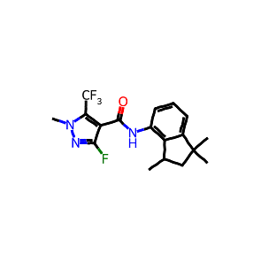 CC1CC(C)(C)c2cccc(NC(=O)c3c(F)nn(C)c3C(F)(F)F)c21